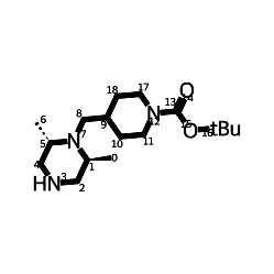 C[C@H]1CNC[C@H](C)N1CC1CCN(C(=O)OC(C)(C)C)CC1